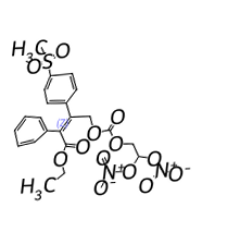 CCOC(=O)/C(=C(\COC(=O)OCC(O[N+](=O)[O-])O[N+](=O)[O-])c1ccc(S(C)(=O)=O)cc1)c1ccccc1